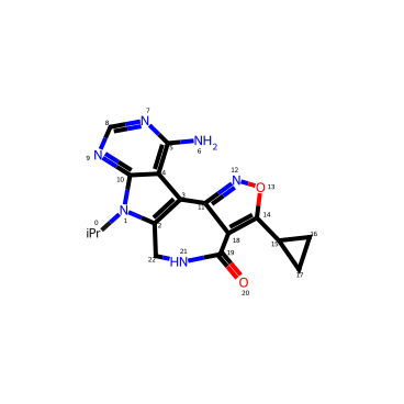 CC(C)n1c2c(c3c(N)ncnc31)-c1noc(C3CC3)c1C(=O)NC2